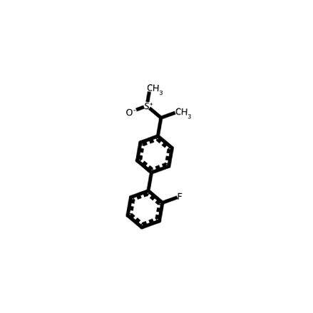 CC(c1ccc(-c2ccccc2F)cc1)[S+](C)[O-]